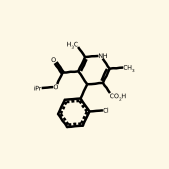 CC1=C(C(=O)O)C(c2ccccc2Cl)C(C(=O)OC(C)C)=C(C)N1